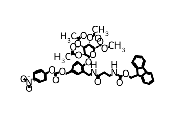 COC(=O)[C@H]1OC(Oc2ccc(COC(=O)Oc3ccc([N+](=O)[O-])cc3)cc2CNC(=O)CCNC(=O)OCC2c3ccccc3-c3ccccc32)[C@H](OC(C)=O)[C@@H](OC(C)=O)[C@@H]1OC(C)=O